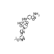 CC(C)Oc1cc(-n2ccc(N3CCOC(C(C)(O)C(=O)Nc4ccc5c(N)noc5c4)C3=O)n2)cnn1